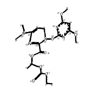 CCOC(=O)OC(C)OC(=O)C1=NC(N(C)C)=CCN1Oc1nc(OC)cc(OC)n1